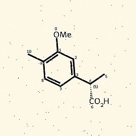 COc1cc([C@H](C)C(=O)O)ccc1C